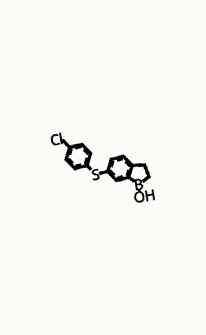 OB1CCc2ccc(Sc3ccc(Cl)cc3)cc21